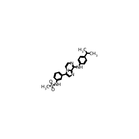 CC(C)c1ccc(Nc2nccn3c(-c4cccc(NS(C)(=O)=O)c4)cnc23)cc1